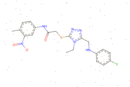 CCn1c(CNc2ccc(F)cc2)nnc1SCC(=O)Nc1ccc(C)c([N+](=O)[O-])c1